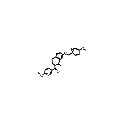 COc1ccc(COc2ccc3c(c2)C(C)N(C(=O)c2ccc(OC)nc2)CC3)nc1